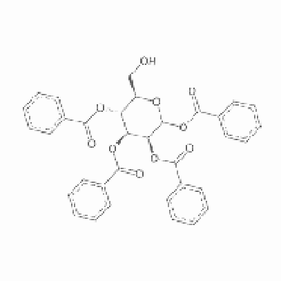 O=C(OC1O[C@H](CO)[C@@H](OC(=O)c2ccccc2)[C@H](OC(=O)c2ccccc2)[C@@H]1OC(=O)c1ccccc1)c1ccccc1